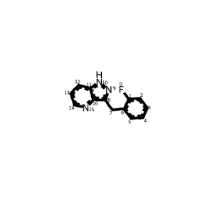 Fc1ccccc1Cc1n[nH]c2cccnc12